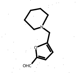 O=Cc1ccc(CN2CCCCC2)o1